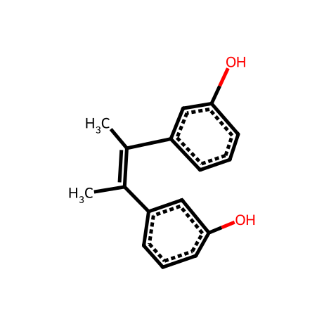 C/C(=C(\C)c1cccc(O)c1)c1cccc(O)c1